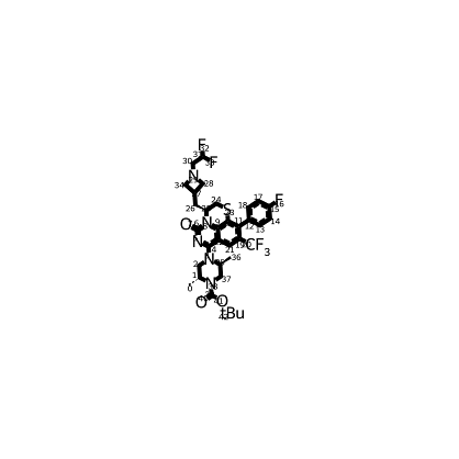 C[C@@H]1CN(c2nc(=O)n3c4c(c(-c5ccc(F)cc5)c(C(F)(F)F)cc24)SC[C@@H]3CC2CN(CC(F)F)C2)[C@@H](C)CN1C(=O)OC(C)(C)C